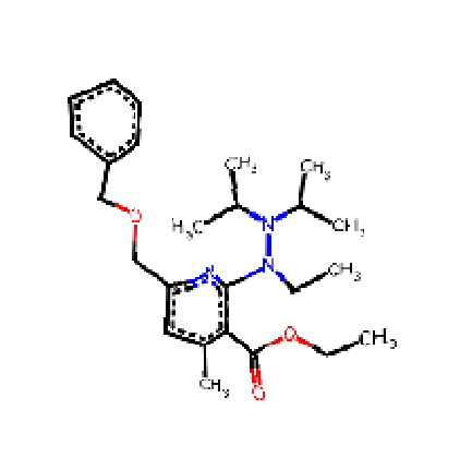 CCOC(=O)c1c(C)cc(COCc2ccccc2)nc1N(CC)N(C(C)C)C(C)C